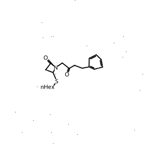 CCCCCCSC1CC(=O)N1CC(=O)CCc1ccccc1